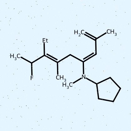 C=C(C)/C=C(\C/C(C)=C(\CC)C(C)F)N(C)C1CCCC1